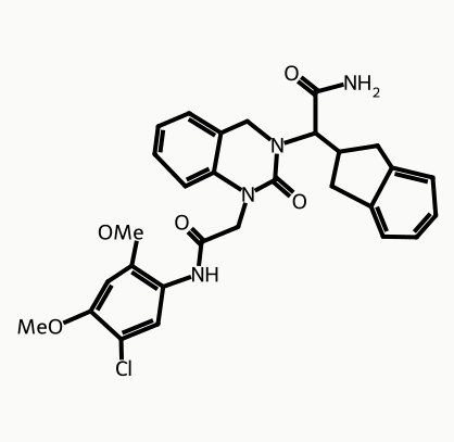 COc1cc(OC)c(NC(=O)CN2C(=O)N(C(C(N)=O)C3Cc4ccccc4C3)Cc3ccccc32)cc1Cl